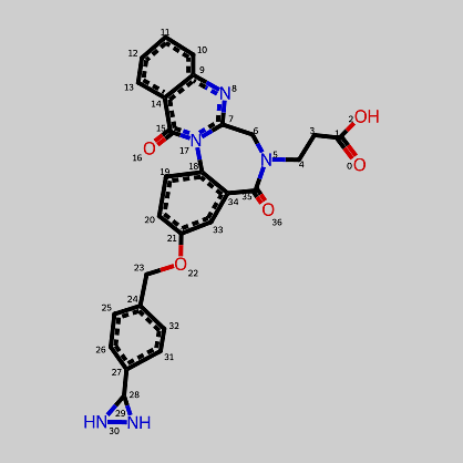 O=C(O)CCN1Cc2nc3ccccc3c(=O)n2-c2ccc(OCc3ccc(C4NN4)cc3)cc2C1=O